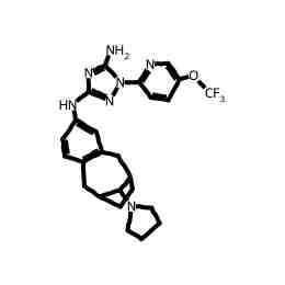 Nc1nc(Nc2ccc3c(c2)CC2CCC(C3)C2N2CCCC2)nn1-c1ccc(OC(F)(F)F)cn1